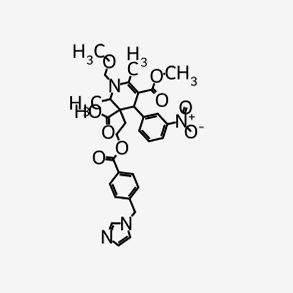 COCN1C(C)=C(C(=O)OC)C(c2cccc([N+](=O)[O-])c2)C(CCOC(=O)c2ccc(Cn3ccnc3)cc2)(C(=O)O)C1C